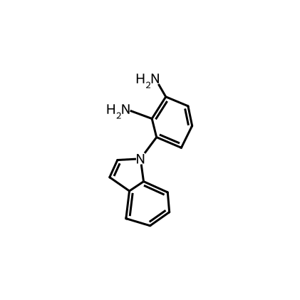 Nc1cccc(-n2ccc3ccccc32)c1N